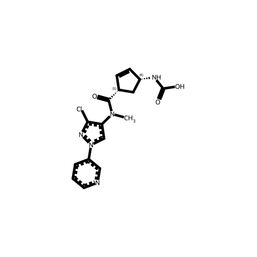 CN(C(=O)[C@@H]1C=C[C@H](NC(=O)O)C1)c1cn(-c2cccnc2)nc1Cl